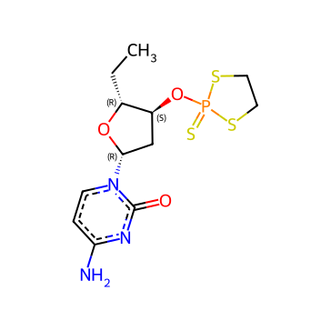 CC[C@H]1O[C@@H](n2ccc(N)nc2=O)C[C@@H]1OP1(=S)SCCS1